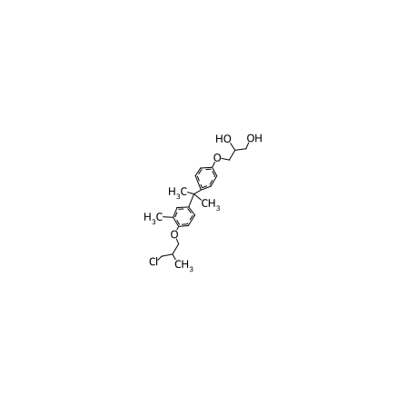 Cc1cc(C(C)(C)c2ccc(OCC(O)CO)cc2)ccc1OCC(C)CCl